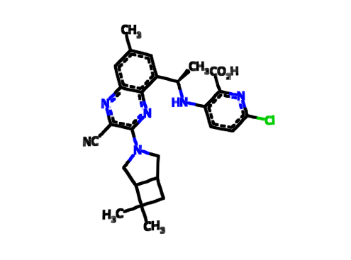 Cc1cc([C@@H](C)Nc2ccc(Cl)nc2C(=O)O)c2nc(N3CC4CC(C)(C)C4C3)c(C#N)nc2c1